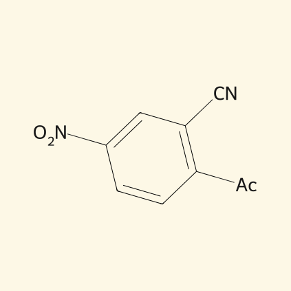 CC(=O)c1ccc([N+](=O)[O-])cc1C#N